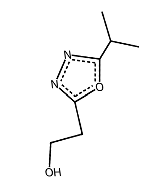 CC(C)c1nnc(CCO)o1